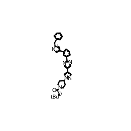 CC(C)(C)OC(=O)N1CCC(n2cc(-c3cnc(-c4cccc(-c5cnn(Cc6ccccc6)c5)c4)nc3)cn2)CC1